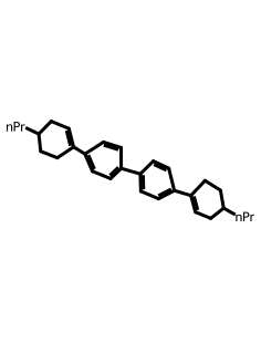 CCCC1CC=C(c2ccc(-c3ccc(C4=CCC(CCC)CC4)cc3)cc2)CC1